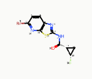 O=C(Nc1nc2ccc(Br)nc2s1)[C@@H]1C[C@@H]1F